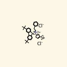 CC(C)(C)c1ccc2c(c1)-c1cc(C(C)(C)C)ccc1[CH]2/[Zr+2](=[CH]\Cc1ccccc1)[C]1=CC([Si](C)(C)C)=CC1.[Cl-].[Cl-]